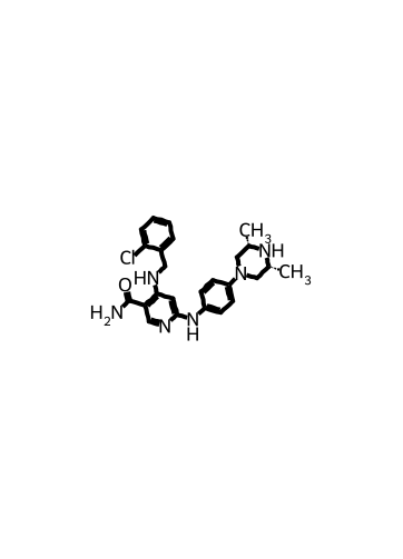 C[C@@H]1CN(c2ccc(Nc3cc(NCc4ccccc4Cl)c(C(N)=O)cn3)cc2)C[C@H](C)N1